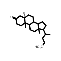 CC(CCC(=O)O)C1CCC2C3CC[C@@H]4CC(=O)CCC4(C)C3CCC12C